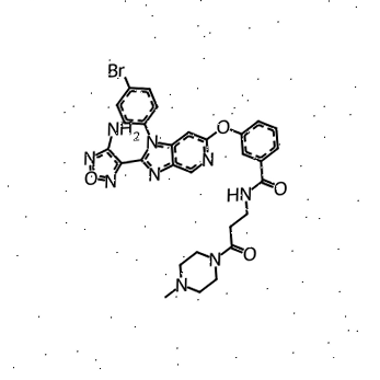 CN1CCN(C(=O)CCNC(=O)c2cccc(Oc3cc4c(cn3)nc(-c3nonc3N)n4-c3ccc(Br)cc3)c2)CC1